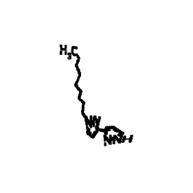 CCCCCCCCCn1ccc(-c2cc[nH]n2)n1